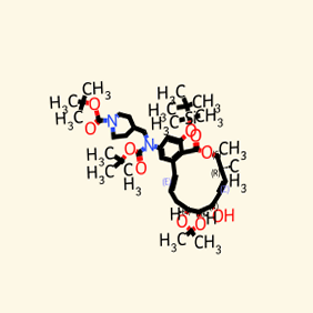 C[C@@H]1/C=C\[C@@H](O)[C@H]2OC(C)(C)O[C@H]2C/C=C/c2cc(N(CC3CCN(C(=O)OC(C)(C)C)CC3)C(=O)OC(C)(C)C)cc(O[Si](C)(C)C(C)(C)C)c2C(=O)O[C@H]1C